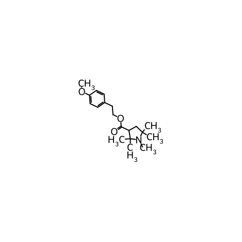 COc1ccc(CCOC(=O)C2CC(C)(C)N(C)C2(C)C)cc1